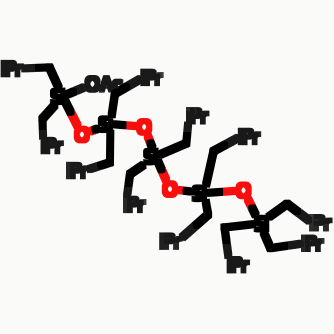 CC(=O)O[Si](CC(C)C)(CC(C)C)O[Si](CC(C)C)(CC(C)C)O[Si](CC(C)C)(CC(C)C)O[Si](CC(C)C)(CC(C)C)O[Si](CC(C)C)(CC(C)C)CC(C)C